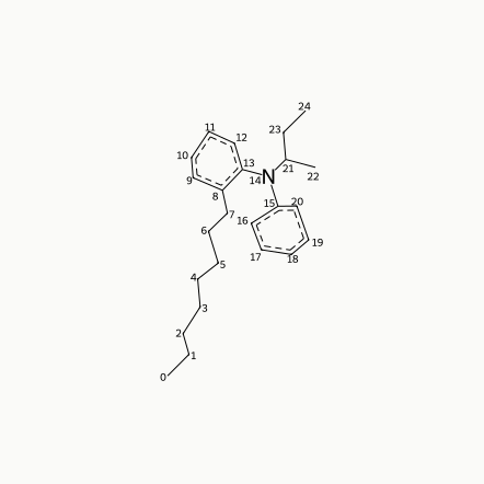 CCCCCCCCc1ccccc1N(c1ccccc1)C(C)CC